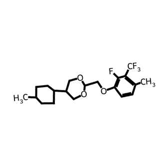 Cc1ccc(OCC2OCC(C3CCC(C)CC3)CO2)c(F)c1C(F)(F)F